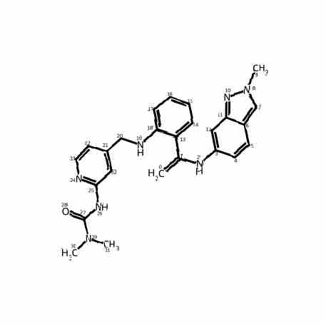 C=C(Nc1ccc2cn(C)nc2c1)c1ccccc1NCc1ccnc(NC(=O)N(C)C)c1